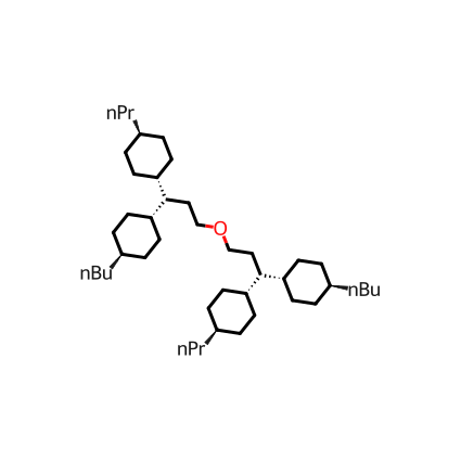 CCCC[C@H]1CC[C@H](C(CCOCCC([C@H]2CC[C@H](CCC)CC2)[C@H]2CC[C@H](CCCC)CC2)[C@H]2CC[C@H](CCC)CC2)CC1